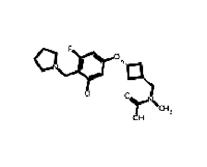 CN(C[C@H]1C[C@H](Oc2cc(F)c(CN3CCCC3)c(Cl)c2)C1)C(=O)O